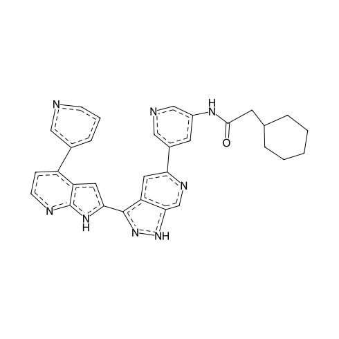 O=C(CC1CCCCC1)Nc1cncc(-c2cc3c(-c4cc5c(-c6cccnc6)ccnc5[nH]4)n[nH]c3cn2)c1